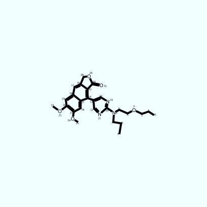 CCCOCCN(CCC)c1ncc(-c2c3c(cc4cc(OC)c(OC)cc24)COC3=O)cn1